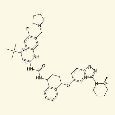 C[C@H]1CCCCN1c1nnc2ccc(OC3CCC(NC(=O)N/C(=C/C(=N)C(C)(C)C)Nc4ccc(F)c(CN5CCCC5)c4)c4ccccc43)cn12